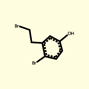 Oc1ccc(Br)c(CCBr)c1